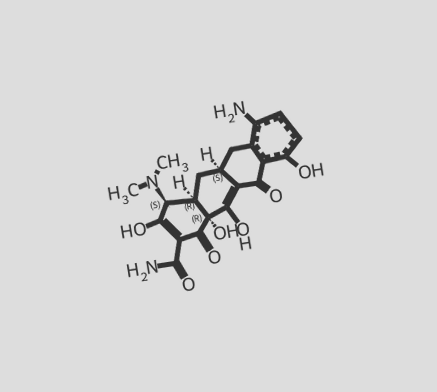 CN(C)[C@@H]1C(O)=C(C(N)=O)C(=O)[C@]2(O)C(O)=C3C(=O)c4c(O)ccc(N)c4C[C@@H]3C[C@H]12